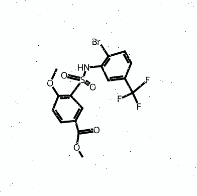 COC(=O)c1ccc(OC)c(S(=O)(=O)Nc2cc(C(F)(F)F)ccc2Br)c1